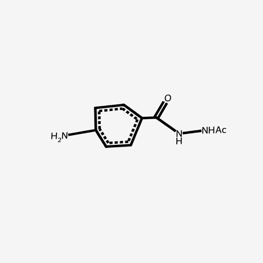 CC(=O)NNC(=O)c1ccc(N)cc1